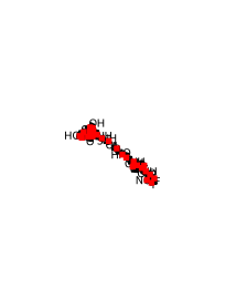 N#C[C@@H]1CC(F)(F)CN1C(=O)CNC(=O)c1ccnc2c(NC(=O)CCC(=O)NCCOCCOCCNC(=S)Nc3ccc4c(c3)C(=O)OC43c4ccc(O)cc4Oc4cc(O)ccc43)cccc12